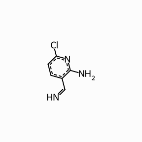 N=Cc1ccc(Cl)nc1N